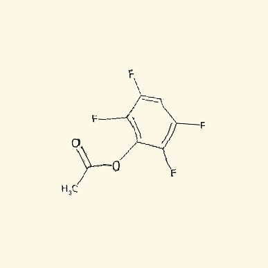 CC(=O)Oc1c(F)c(F)[c]c(F)c1F